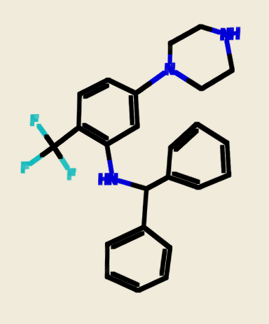 FC(F)(F)c1ccc(N2CCNCC2)cc1NC(c1ccccc1)c1ccccc1